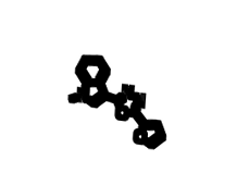 Cn1cc(-c2nnc(-c3ccco3)o2)c2ccccc21